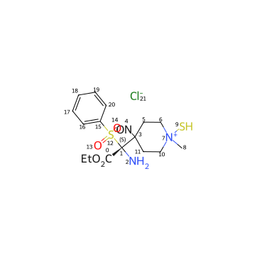 CCOC(=O)[C@](N)(C1(N=O)CC[N+](C)(S)CC1)S(=O)(=O)c1ccccc1.[Cl-]